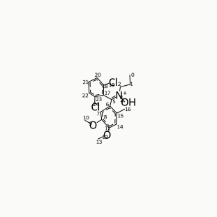 CCC[N+](O)=C(c1cc(OC)c(OC)cc1C)c1c(Cl)cccc1Cl